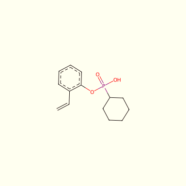 C=Cc1ccccc1OP(=O)(O)C1CCCCC1